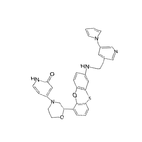 O=c1cc(N2CCOC(c3cccc4c3Oc3ccc(NCc5cncc(-n6cccc6)c5)cc3S4)C2)cc[nH]1